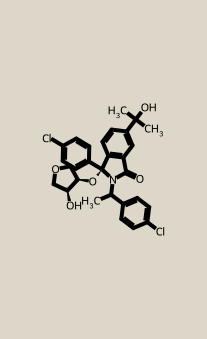 CC(c1ccc(Cl)cc1)N1C(=O)c2cc(C(C)(C)O)ccc2[C@]1(O[C@@H]1COC[C@@H]1O)c1ccc(Cl)cc1